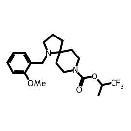 COc1ccccc1CN1CCCC12CCN(C(=O)OC(C)C(F)(F)F)CC2